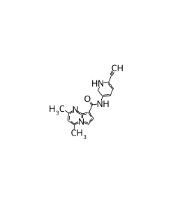 C#CC1=CC=C(NC(=O)c2ccn3c(C)cc(C)nc23)CN1